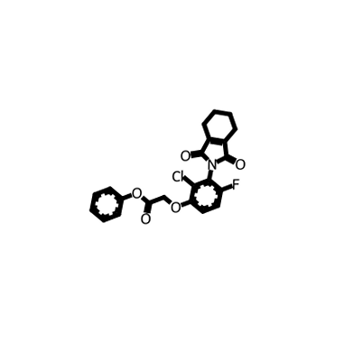 O=C(COc1ccc(F)c(N2C(=O)C3=C(CCCC3)C2=O)c1Cl)Oc1ccccc1